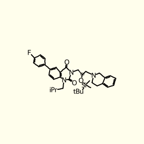 CC(C)Cn1c(=O)n(C[C@@H](CN2CCc3ccccc3C2)O[Si](C)(C)C(C)(C)C)c(=O)c2cc(-c3ccc(F)cc3)ccc21